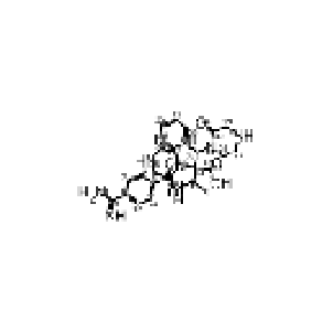 CC(NC(=O)c1ccc(C(=N)N)cc1)C(C(=O)O)(C(c1cccnc1)N1CCNCC1=O)N1CCNCC1=O